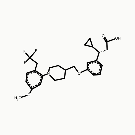 COc1ccc(CC(F)(F)F)c(N2CCC(COc3cccc([C@@H](CC(=O)O)C4CC4)c3)CC2)c1